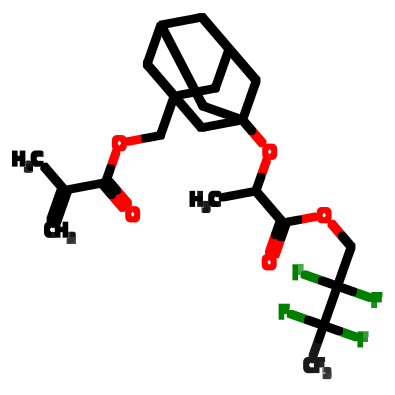 C=C(C)C(=O)OCC12CC3CC(C1)CC(OC(C)C(=O)OCC(F)(F)C(F)(F)C(F)(F)F)(C3)C2